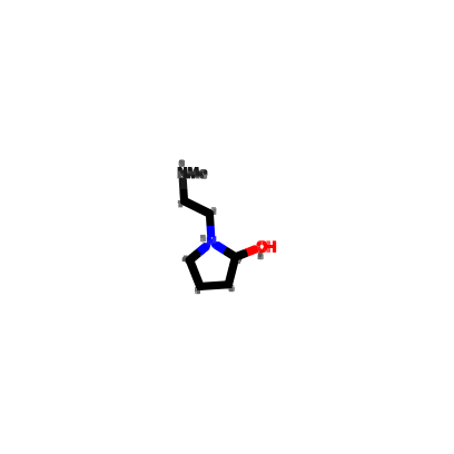 CNCCN1CCCC1O